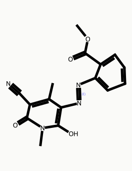 COC(=O)c1ccccc1/N=N/c1c(C)c(C#N)c(=O)n(C)c1O